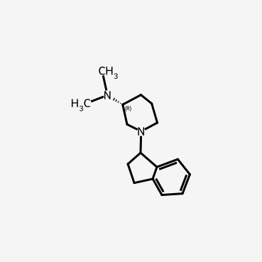 CN(C)[C@@H]1CCCN(C2CCc3ccccc32)C1